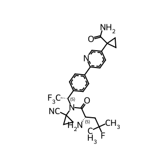 CC(C)(F)C[C@H](N)C(=O)N([C@@H](c1ccc(-c2ccc(C3(C(N)=O)CC3)cn2)cc1)C(F)(F)F)C1(C#N)CC1